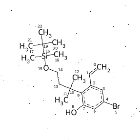 C=Cc1cc(Br)cc(O)c1C(C)(C)CCO[Si](C)(C)C(C)(C)C